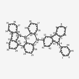 c1ccc(-n2c3ccccc3c3cc(N4c5ccccc5B5c6c(cccc64)-c4cccc6c7ccccc7n5c46)ccc32)cc1